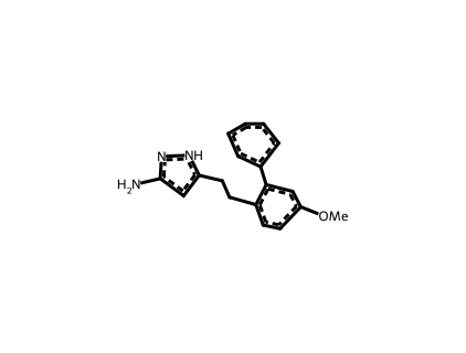 COc1ccc(CCc2cc(N)n[nH]2)c(-c2ccccc2)c1